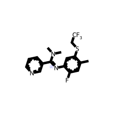 Cc1cc(F)c(/N=C(/c2cccnc2)N(C)C)cc1SCC(F)(F)F